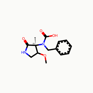 COC1CNC(=O)[C@@]1(C)N(Cc1ccccc1)C(=O)O